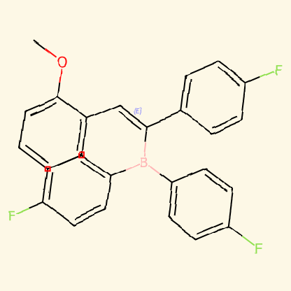 COc1ccccc1/C=C(\B(c1ccc(F)cc1)c1ccc(F)cc1)c1ccc(F)cc1